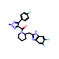 Cn1nc(C(=O)N2CCCCC2Cc2nc3cc(F)c(F)cc3[nH]2)c(-c2ccc(F)cc2)n1